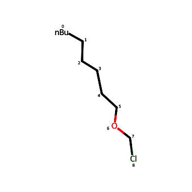 CCCCCCCCCOCCl